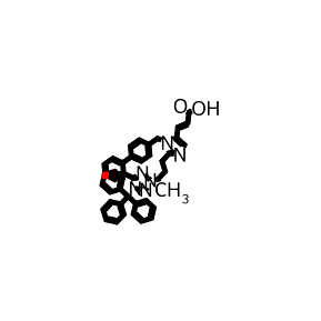 CCCCc1ncc(/C=C/C(=O)O)n1Cc1ccc(-c2ccccc2-c2nnnn2C(c2ccccc2)(c2ccccc2)c2ccccc2)cc1